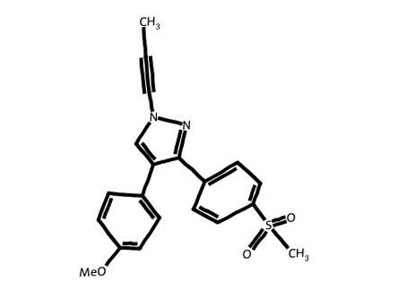 CC#Cn1cc(-c2ccc(OC)cc2)c(-c2ccc(S(C)(=O)=O)cc2)n1